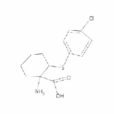 NC1(C(=O)O)CCCCC1Sc1ccc(Cl)cc1